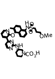 COCCCS(=O)(=O)Nc1cccc2c(Oc3ncccc3-c3ccnc(N[C@H]4CCCN(C(=O)O)C4)n3)c(C)ccc12